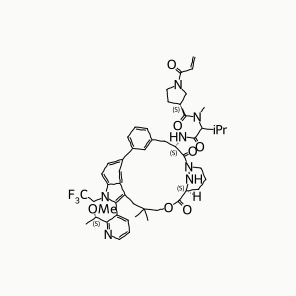 C=CC(=O)N1CC[C@H](C(=O)N(C)C(C(=O)N[C@H]2Cc3cccc(c3)-c3ccc4c(c3)c(c(-c3cccnc3[C@H](C)OC)n4CC(F)(F)F)CC(C)(C)COC(=O)[C@@H]3CCCN(N3)C2=O)C(C)C)C1